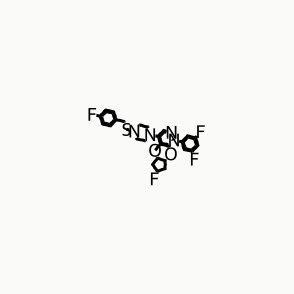 O=c1c(OC2CCC(F)C2)c(N2CCN(SCc3ccc(F)cc3)CC2)cnn1-c1cc(F)cc(F)c1